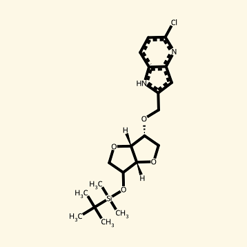 CC(C)(C)[Si](C)(C)OC1CO[C@H]2[C@@H]1OC[C@H]2OCc1cc2nc(Cl)ccc2[nH]1